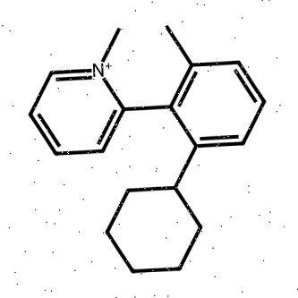 Cc1cccc(C2CCCCC2)c1-c1cccc[n+]1C